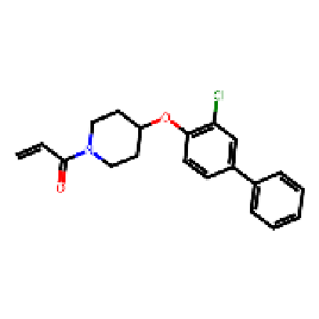 C=CC(=O)N1CCC(Oc2ccc(-c3ccccc3)cc2Cl)CC1